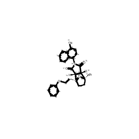 CCC[C@]12CC[C@](CCOc3ccccc3)(O1)[C@@H]1C(=O)N(c3ccc(C#N)c4ccccc34)C(=O)[C@@H]12